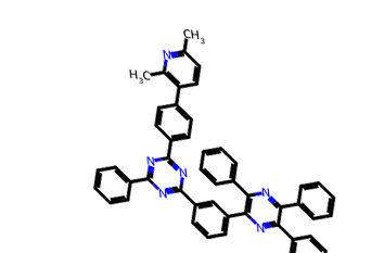 Cc1ccc(-c2ccc(-c3nc(-c4ccccc4)nc(-c4cccc(-c5nc(-c6ccccc6)c(-c6ccccc6)nc5-c5ccccc5)c4)n3)cc2)c(C)n1